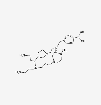 CN1CCN(CCCN(CCCN)C(CCN)C2CCN(CCNCc3ccc(B(O)O)cc3)C2)CC1